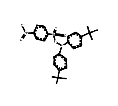 CC(C)(C)c1ccc([I+](OS(=O)(=O)c2ccc([N+](=O)[O-])cc2)c2ccc(C(C)(C)C)cc2)cc1